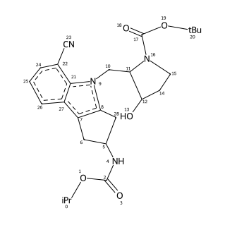 CC(C)OC(=O)NC1Cc2c(n(CC3C(O)CCN3C(=O)OC(C)(C)C)c3c(C#N)cccc23)C1